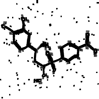 Cc1cc([C@H](N)CN(C)S(=O)(=O)c2ccc([N+](=O)[O-])cc2)ccc1Cl.Cl